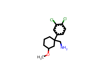 COC1CCCC(CN)(c2ccc(Cl)c(Cl)c2)C1